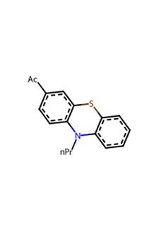 CCCN1c2ccccc2Sc2cc(C(C)=O)ccc21